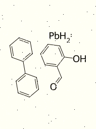 O=Cc1ccccc1O.[PbH2].c1ccc(-c2ccccc2)cc1